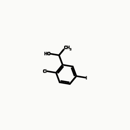 CC(O)c1cc(I)ccc1Cl